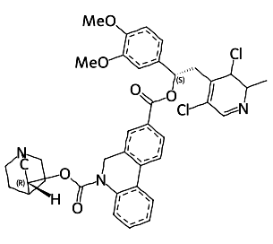 COc1ccc([C@H](CC2=C(Cl)C=NC(C)C2Cl)OC(=O)c2ccc3c(c2)CN(C(=O)O[C@H]2CN4CCC2CC4)c2ccccc2-3)cc1OC